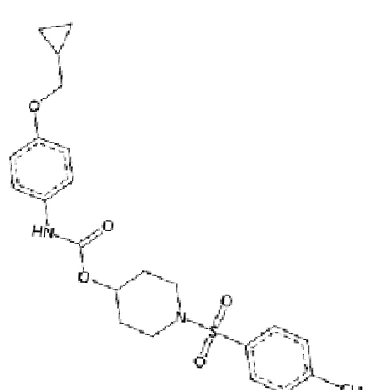 Cc1ccc(S(=O)(=O)N2CCC(OC(=O)Nc3ccc(OCC4CC4)cc3)CC2)cc1